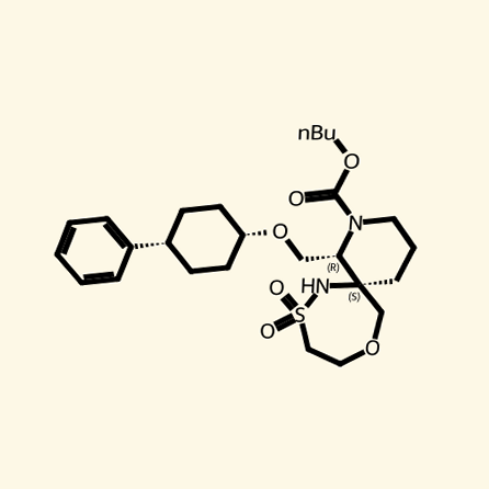 CCCCOC(=O)N1CCC[C@@]2(COCCS(=O)(=O)N2)[C@@H]1CO[C@H]1CC[C@@H](c2ccccc2)CC1